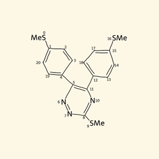 CSc1ccc(-c2nnc(SC)nc2-c2ccc(SC)cc2)cc1